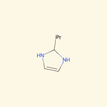 CC(C)C1NC=CN1